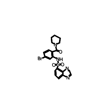 O=C(c1ccc(Br)cc1NS(=O)(=O)c1cccc2nccnc12)N1CCCCC1